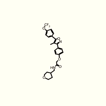 Cc1c(-c2ccc(OCC(=O)NCC3CCOCC3)cc2)noc1-c1ccc(OC(F)(F)F)cc1